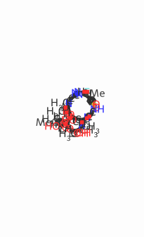 CC[C@H]1OC(=O)[C@H](C)[C@@H](O[C@H]2C[C@@](C)(OC)[C@@H](O)[C@H](C)O2)[C@H](C)[C@H]2O[C@H]3C[C@H](C[C@@H](C)O3)N(C)CCc3cn(nn3)[C@H](CF)[C@H](OC)c3ccc(cc3)S(=O)(=O)NCc3ccc(nc3)[C@@H](CN(C)[C@H](C)[C@@H](O)[C@]1(C)O)C[C@@]2(C)O